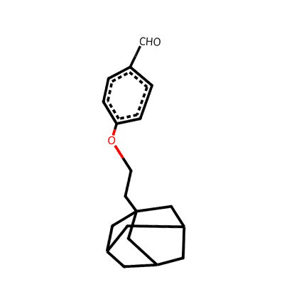 O=Cc1ccc(OCCC23CC4CC(CC(C4)C2)C3)cc1